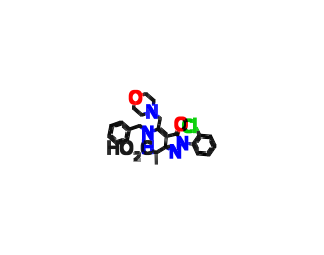 CC(C(=O)O)C1=NN(c2ccccc2Cl)C(=O)C1=C(CN1CCOCC1)NCc1ccccc1